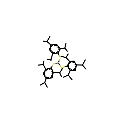 CC(C)c1cc(C(C)C)c([S][Bi]([S]c2c(C(C)C)cc(C(C)C)cc2C(C)C)[S]c2c(C(C)C)cc(C(C)C)cc2C(C)C)c(C(C)C)c1